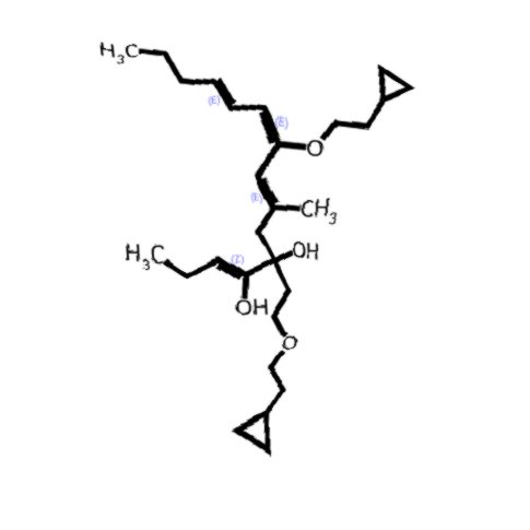 CC/C=C(\O)C(O)(CCOCCC1CC1)C/C(C)=C/C(=C\C=C\CCC)OCCC1CC1